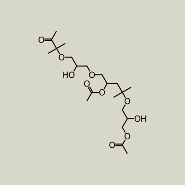 CC(=O)OCC(O)COC(C)(C)CC(COCC(O)COC(C)(C)C(C)=O)OC(C)=O